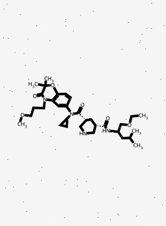 CCOCC(CC(C)C)NC(=O)[C@@H]1CNC[C@H](C(=O)N(c2ccc3c(c2)N(CCCOC)C(=O)C(C)(C)O3)C2CC2)C1